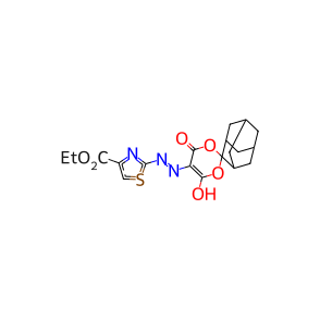 CCOC(=O)c1csc(N=NC2=C(O)OC3(OC2=O)C2CC4CC(C2)CC3C4)n1